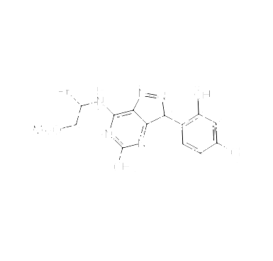 CCC(COC)Nc1nc(C)nc2c1N=NC2c1ccc(Cl)cc1C